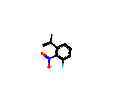 C=C(C)c1cccc(F)c1[N+](=O)[O-]